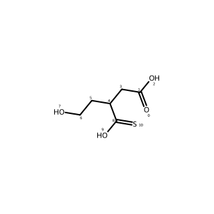 O=C(O)CC(CCO)C(O)=S